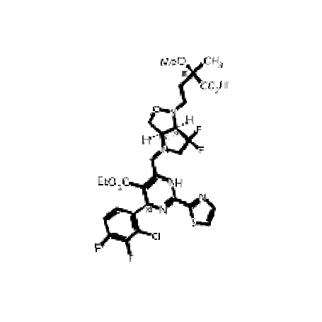 CCOC(=O)C1=C(CN2CC(F)(F)[C@H]3[C@@H]2CON3CC[C@@](C)(OC)C(=O)O)NC(c2nccs2)=N[C@H]1c1ccc(F)c(F)c1Cl